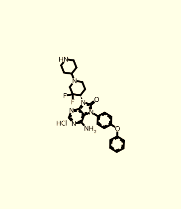 Cl.Nc1ncnc2c1n(-c1ccc(Oc3ccccc3)cc1)c(=O)n2[C@H]1CCN(C2CCNCC2)CC1(F)F